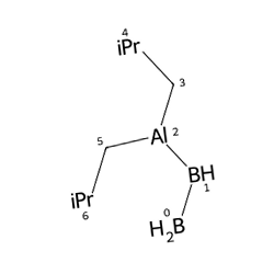 B[BH][Al]([CH2]C(C)C)[CH2]C(C)C